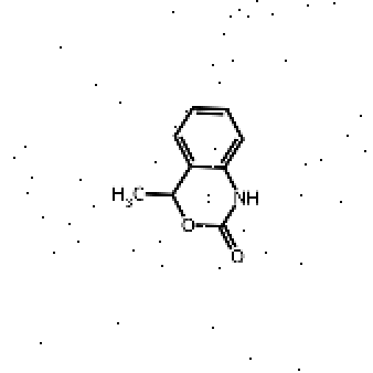 CC1OC(=O)Nc2ccccc21